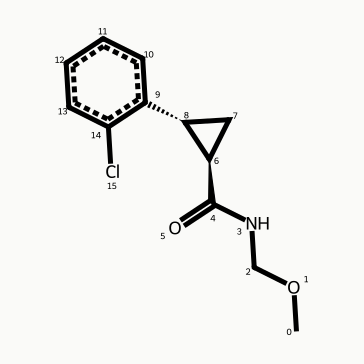 COCNC(=O)[C@@H]1C[C@H]1c1ccccc1Cl